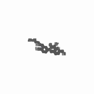 CCOc1ccc2cn(C3=C/C(=C/NCCNC)C(=N)C=C3)c(=O)c(Br)c2n1